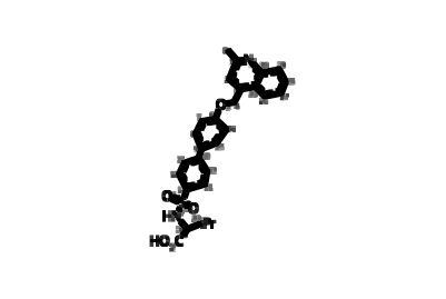 Cc1cc(COc2ccc(-c3ccc(S(=O)(=O)NC(C(=O)O)C(C)C)cc3)cc2)c2ccccc2n1